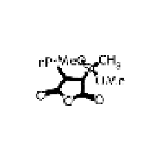 CCCC1C(=O)OC(=O)C1[Si](C)(OC)OC